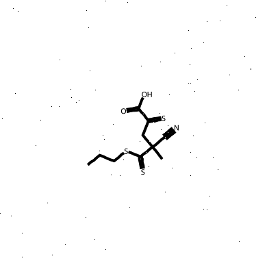 CCCSC(=S)C(C)(C#N)CC(=S)C(=O)O